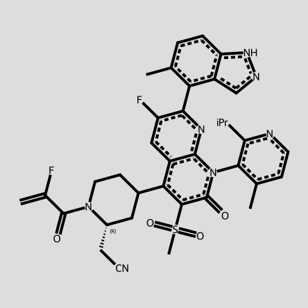 C=C(F)C(=O)N1CCC(c2c(S(C)(=O)=O)c(=O)n(-c3c(C)ccnc3C(C)C)c3nc(-c4c(C)ccc5[nH]ncc45)c(F)cc23)C[C@@H]1CC#N